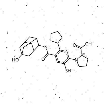 O=C(NC1C2CC3CC1CC(O)(C3)C2)c1cc(S)c(N2CCC[C@H]2C(=O)O)nc1C1CCCC1